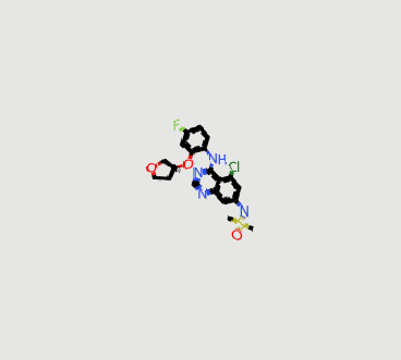 CS(C)(=O)=Nc1cc(Cl)c2c(Nc3ccc(F)cc3O[C@H]3CCOC3)ncnc2c1